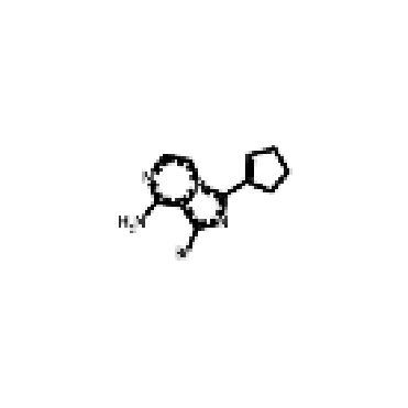 Nc1nccn2c(C3=CCCC3)nc(Br)c12